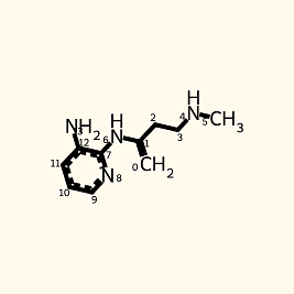 C=C(CCNC)Nc1ncccc1N